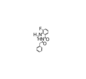 Nc1c(F)cccc1C(=O)NC(=O)Cc1ccccc1